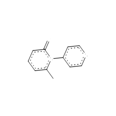 Cc1cccc(=O)n1-c1ccncc1